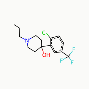 CCCN1CCC(O)(c2cc(C(F)(F)F)ccc2Cl)CC1